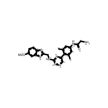 COc1ccc2sc(CNc3nncc(-c4c(C)cc(NC(=O)CN)cc4C)n3)nc2c1